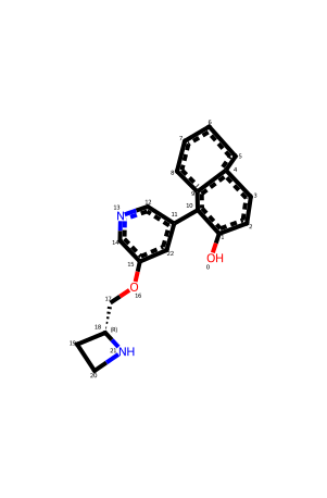 Oc1ccc2ccccc2c1-c1cncc(OC[C@H]2CCN2)c1